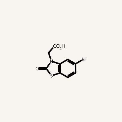 O=C(O)Cn1c(=O)sc2ccc(Br)cc21